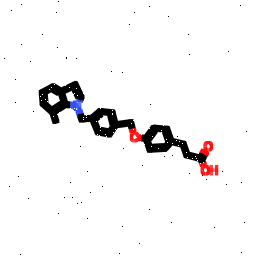 Cc1cccc2ccn(Cc3ccc(COc4ccc(CCC(=O)O)cc4)cc3)c12